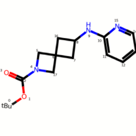 CC(C)(C)OC(=O)N1CC2(CC(Nc3ccccn3)C2)C1